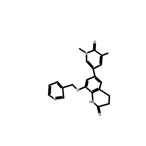 Cc1cc(-c2cc3c(c(OCc4cccnc4)c2)NC(=O)CC3)cn(C)c1=O